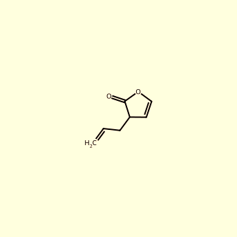 C=CCC1C=COC1=O